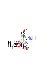 Brc1ccc2sc(CC3CCNCC3)nc2c1.CC(C)(C)OC(=O)N1CCC(Cc2nc3cc(Br)ccc3s2)CC1